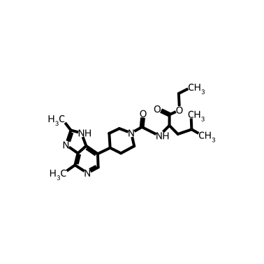 CCOC(=O)C(CC(C)C)NC(=O)N1CCC(c2cnc(C)c3nc(C)[nH]c23)CC1